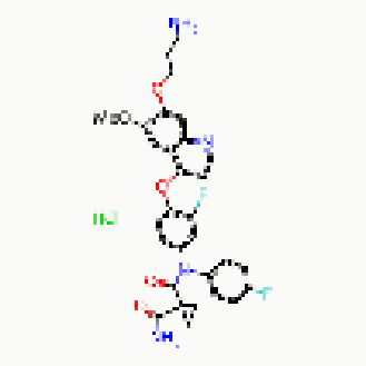 COc1cc2c(Oc3ccc(N(C(=O)C4(C(N)=O)CC4)c4ccc(F)cc4)cc3F)ccnc2cc1OCCCN.Cl